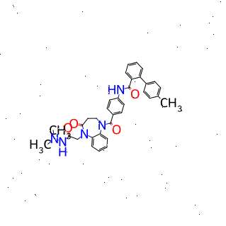 Cc1ccc(-c2ccccc2C(=O)Nc2ccc(C(=O)N3CCC(=O)N(CC(=O)NN(C)C)c4ccccc43)cc2)cc1